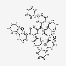 C1=Cc2oc3c(-c4ccc(N(c5cccc(-c6ccccc6)c5)c5cc6c(oc7cccc(-c8ccccc8[C@H]8CC=CCC8)c76)c6ccccc56)cc4)cccc3c2CC1